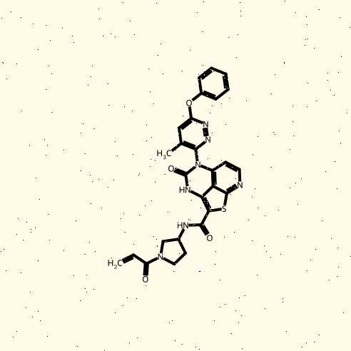 C=CC(=O)N1CCC(NC(=O)c2sc3nccc4c3c2NC(=O)N4c2nnc(Oc3ccccc3)cc2C)C1